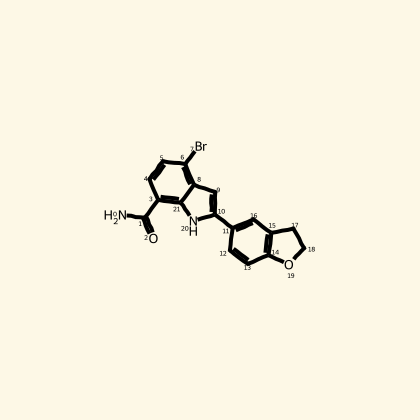 NC(=O)c1ccc(Br)c2cc(-c3ccc4c(c3)CCO4)[nH]c12